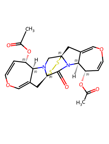 CC(=O)O[C@H]1C=COC=C2C[C@]34CN5[C@H]6C(=COC=C[C@@H]6OC(C)=O)C[C@@]5(SS3)C(=O)N4[C@@H]21